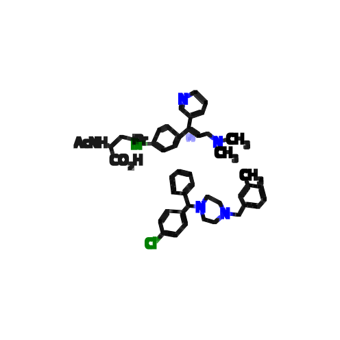 CC(=O)NC(CC(C)C)C(=O)O.CN(C)C/C=C(/c1ccc(Br)cc1)c1cccnc1.Cc1cccc(CN2CCN(C(c3ccccc3)c3ccc(Cl)cc3)CC2)c1